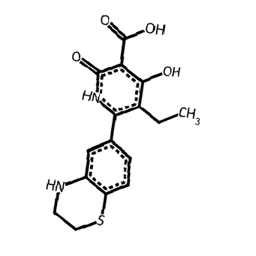 CCc1c(-c2ccc3c(c2)NCCS3)[nH]c(=O)c(C(=O)O)c1O